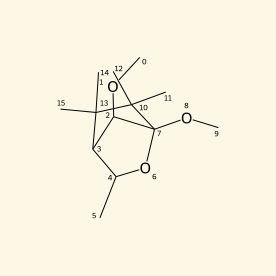 COC1C2C(C)OC1(OC)C(C)(C)C2(C)C